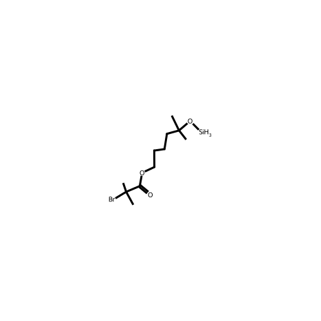 CC(C)(CCCCOC(=O)C(C)(C)Br)O[SiH3]